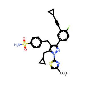 NS(=O)(=O)c1ccc(Cc2c(-c3ccc(F)c(C#CC4CC4)c3)nn(-c3nc(C(=O)O)cs3)c2CC2CC2)cc1